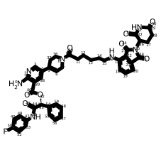 Nc1ncc(C2=CCN(C(=O)CCCCCNc3cccc4c3C(=O)N(C3CCC(=O)NC3=O)C4=O)CC2)cc1C(=O)O[C@@H](C(=O)Nc1ccc(F)cc1)c1ccccc1